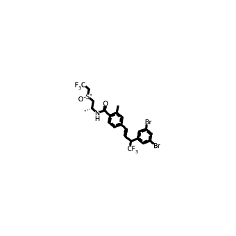 Cc1cc(/C=C/C(c2cc(Br)cc(Br)c2)C(F)(F)F)ccc1C(=O)N[C@H](C)C[S+]([O-])CC(F)(F)F